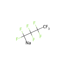 FC(F)(F)C(F)(F)C(F)(F)[C](F)(F)[Na]